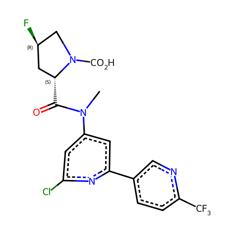 CN(C(=O)[C@@H]1C[C@@H](F)CN1C(=O)O)c1cc(Cl)nc(-c2ccc(C(F)(F)F)nc2)c1